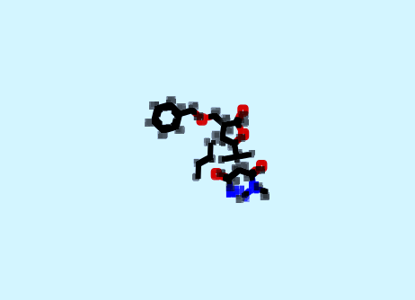 CCCC[C@H]1C(C(C)(C)[C@@H](C(N)=O)C(=O)N(C)C)OC(=O)[C@@H]1COCc1ccccc1